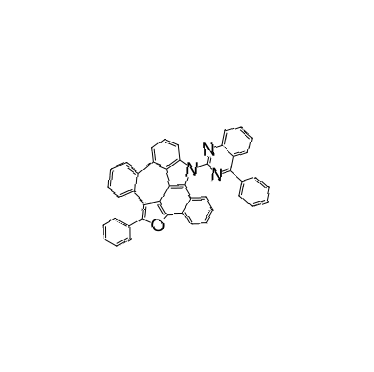 c1ccc(-c2oc3c4ccccc4c4c5c3c2-c2ccccc2-c2cccc(c25)n4-c2nc(-c3ccccc3)c3ccccc3n2)cc1